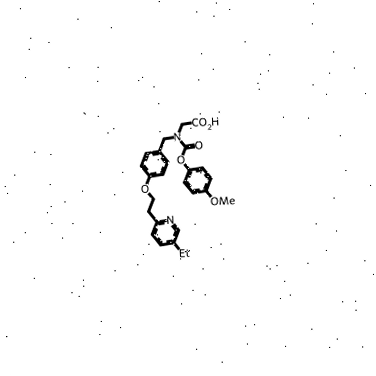 CCc1ccc(CCOc2ccc(CN(CC(=O)O)C(=O)Oc3ccc(OC)cc3)cc2)nc1